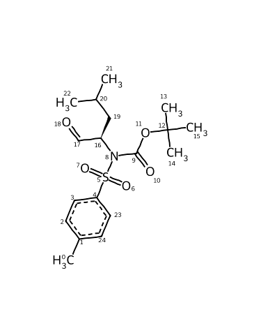 Cc1ccc(S(=O)(=O)N(C(=O)OC(C)(C)C)[C@@H](C=O)CC(C)C)cc1